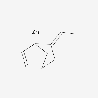 CC=C1CC2C=CC1C2.[Zn]